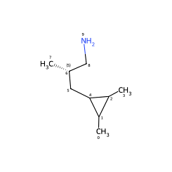 CC1C(C)C1C[C@H](C)CN